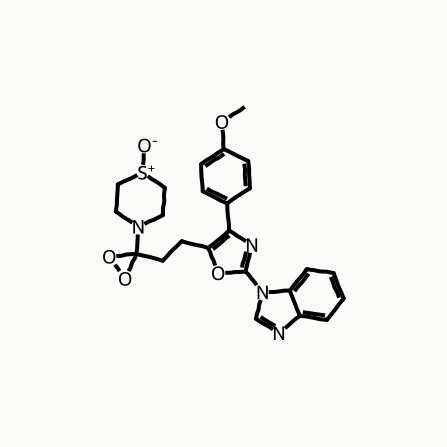 COc1ccc(-c2nc(-n3cnc4ccccc43)oc2CCC2(N3CC[S+]([O-])CC3)OO2)cc1